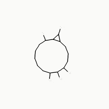 NC1CCCCCC(N)C2C(N)C2CCCC(N)C1N